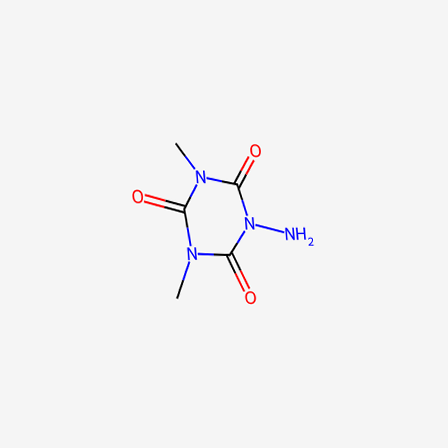 Cn1c(=O)n(C)c(=O)n(N)c1=O